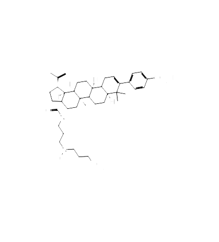 C=C(C)[C@@H]1CC[C@]2(C(=O)NCCCN(CC)CCCC(=O)O)CC[C@]3(C)[C@H](CC[C@@H]4[C@@]5(C)CC=C(c6ccc(C(=O)O)cc6)C(C)(C)[C@@H]5CC[C@]43C)[C@@H]12